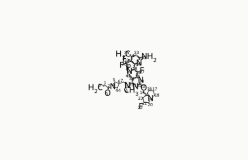 C=CC(=O)N1CC(CN(C)c2nc(OC[C@@]34CCCN3C[C@H](F)C4)nc3c(F)c(-c4nc(N)cc(C)c4C(F)(F)F)ncc23)C1